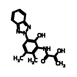 C=C(O)C(=O)Nc1c(C)c(C)cc(-n2nc3ccccc3n2)c1O